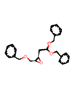 c1ccc(COC[C@@H]2O[C@@H]2CC(OCc2ccccc2)OCc2ccccc2)cc1